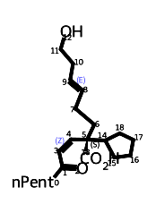 CCCCCC(=O)/C=C\[C@@](CC/C=C/CCO)(C(=O)O)C1CCCC1